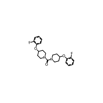 O=C(N1CCC(Oc2ccccc2F)CC1)N1CCC(Oc2ccccc2F)CC1